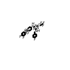 O=S(=O)(c1ccc(F)c(F)c1)N1CCC(Nc2nc(NCc3ccc(F)cc3)nc(OCC(F)(F)F)n2)CC1